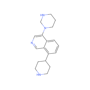 c1cc(C2CCNCC2)c2cncc(N3CCCNC3)c2c1